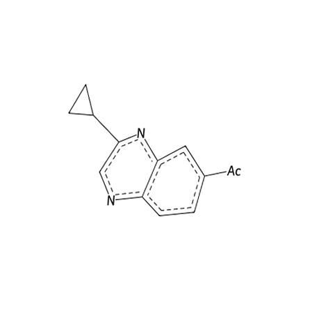 CC(=O)c1ccc2ncc(C3CC3)nc2c1